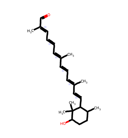 C\C(C=O)=C/C=C/C=C(C)/C=C/C=C(C)/C=C/C1C(C)CCC(O)C1(C)C